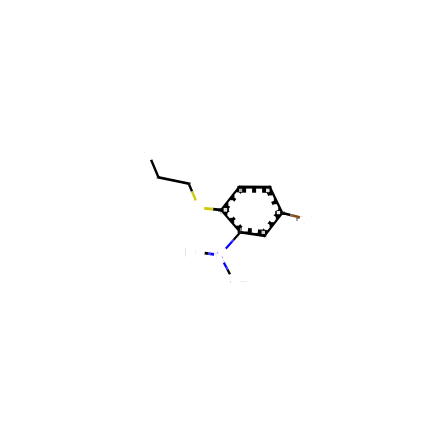 CCCSc1ccc(Br)cc1N(C)C